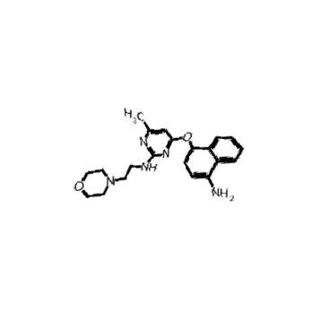 Cc1cc(Oc2ccc(N)c3ccccc23)nc(NCCN2CCOCC2)n1